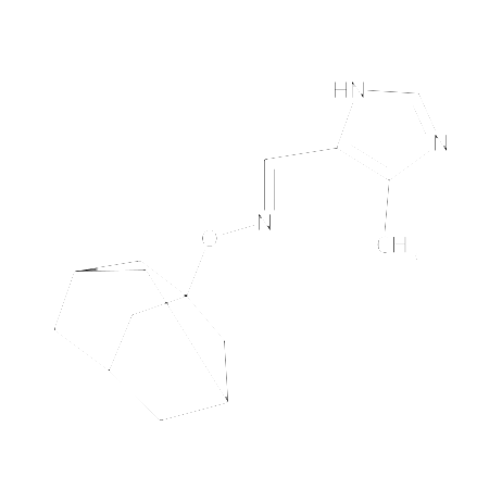 Cc1nc[nH]c1C=NOC12CC3CC(CC(C3)C1)C2